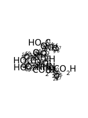 O=C(NC(Cc1ccccc1)C(=O)O)c1cc(Cc2cc(C(=O)NC(Cc3ccccc3)C(=O)O)cc(C(=O)NC(Cc3ccc(O)cc3)C(=O)O)c2)cc(C(=O)NC(Cc2ccccc2)C(=O)O)c1